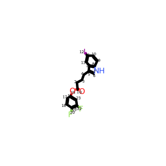 O=C(CCCc1c[nH]c2ccc(I)cc12)Oc1ccc(F)c(F)c1